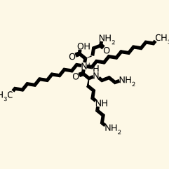 CCCCCCCCCCCC[N+](CCCCCCCCCCCC)(C(=O)[C@H](CCCNCCCN)NCCCN)[C@@H](CCC(N)=O)C(=O)O